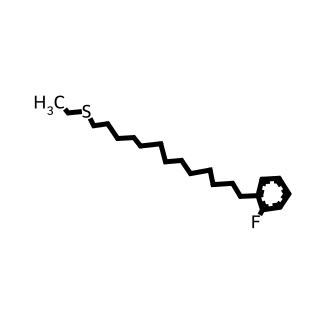 CCSCCCCCCCCCCCCCc1ccccc1F